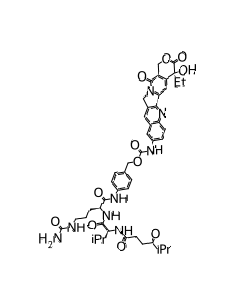 CC[C@@]1(O)C(=O)OCc2c1cc1n(c2=O)Cc2cc3cc(NC(=O)OCc4ccc(NC(=O)[C@H](CCCNC(N)=O)NC(=O)[C@@H](NC(=O)CCC(=O)C(C)C)C(C)C)cc4)ccc3nc2-1